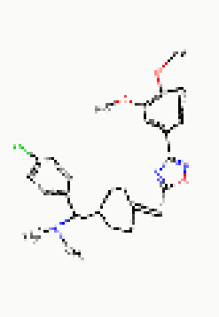 COc1ccc(-c2noc(C=C3CCC(C(c4ccc(Cl)cc4)N(C)C)CC3)n2)cc1OC